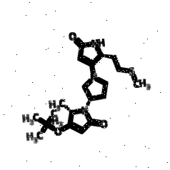 CSCC[C@@H]1NC(=O)C=C1N1CC[C@H](N2C(=O)C=C(OC(C)(C)C)[C@@H]2C)C1